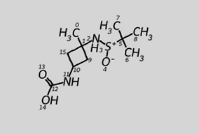 CC1(N[S+]([O-])C(C)(C)C)CC(NC(=O)O)C1